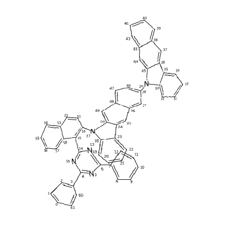 c1ccc(-c2nc(-c3ccccc3)nc(-c3c(-n4c5ccccc5c5cc6cc(-n7c8ccccc8c8cc9ccccc9cc87)ccc6cc54)ccc4ccccc34)n2)cc1